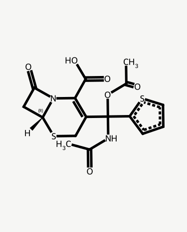 CC(=O)NC(OC(C)=O)(C1=C(C(=O)O)N2C(=O)C[C@H]2SC1)c1cccs1